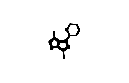 Cc1csc2c(I)nn(C3CCCCO3)c12